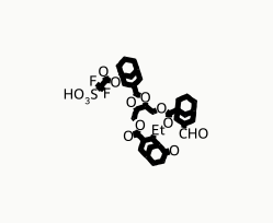 CCC1C2CC(CCC2=O)CC1C(=O)OCC1OC(C2CC3CCCC(OC(=O)C(F)(F)S(=O)(=O)O)(C3)C2)OC1COC(=O)C12CCCC(CC(C=O)C1)C2